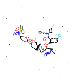 CCS(=O)(=O)N[C@@H]1CC[C@](O)(CN2CCC3(CC2)CN(c2ncncc2Oc2ccc(F)cc2C(=O)N(C(C)C)C2CC(F)C2)C3)OC1